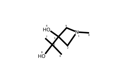 CN1CC(O)(C(C)(C)O)C1